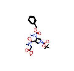 COC(=O)CN(C)C(=O)C1CN(C(=O)OC(C)(C)C)CC1NC(=O)OCc1ccccc1